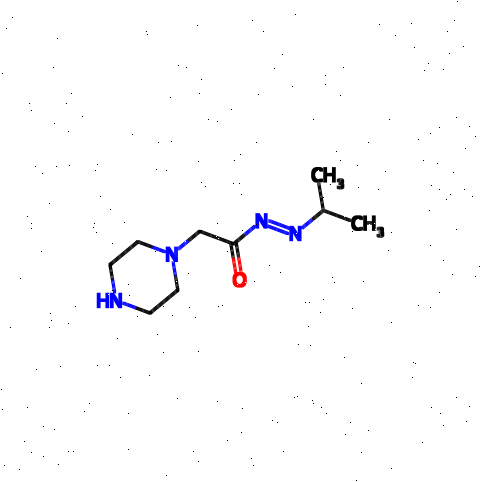 CC(C)N=NC(=O)CN1CCNCC1